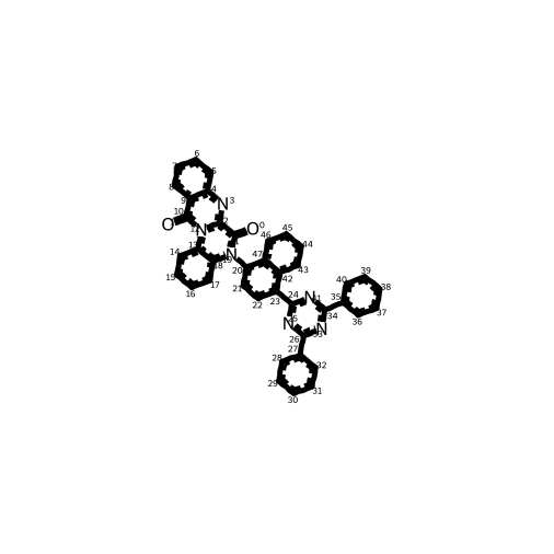 O=c1c2nc3ccccc3c(=O)n2c2ccccc2n1-c1ccc(-c2nc(-c3ccccc3)nc(-c3ccccc3)n2)c2ccccc12